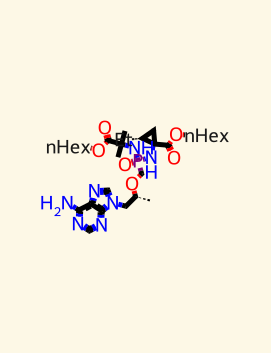 CCCCCCOC(=O)C(C)(C)NP(=O)(CO[C@H](C)Cn1cnc2c(N)ncnc21)N[C@]1(C(=O)OCCCCCC)C[C@H]1CC